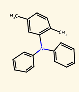 Cc1ccc(C)c(N(c2ccccc2)c2ccccc2)c1